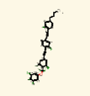 CCCCc1ccc(C#Cc2ccc(C#Cc3cc(F)c(C(F)(F)Oc4cc(F)c(F)c(F)c4)c(F)c3)c(F)c2)c(F)c1